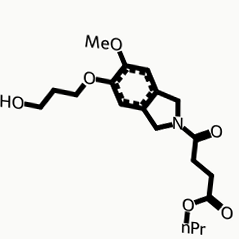 CCCOC(=O)CCC(=O)N1Cc2cc(OC)c(OCCCO)cc2C1